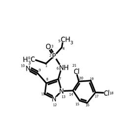 CCP(=O)(CC)Nc1c(C#N)cnn1-c1ccc(Cl)cc1Cl